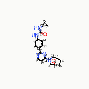 O=C(Nc1ccc(-c2nccc(N3CC4CCC(C3)O4)n2)cc1)NC1CC1